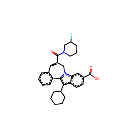 O=C(O)c1ccc2c(C3CCCCC3)c3n(c2c1)CC(C(=O)N1CCCC(F)C1)=Cc1ccccc1-3